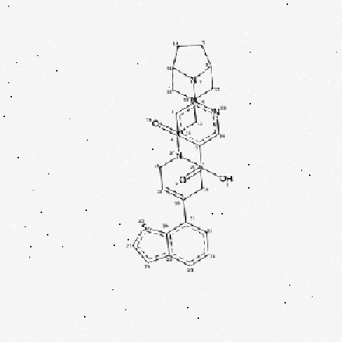 O=C(O)c1ccc(N2C3CCC2CN(CC(=O)N2CC=C(c4cccc5ccsc45)CC2)C3)nc1